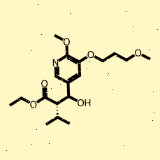 CCOC(=O)[C@@H](C(C)C)C(O)c1cnc(OC)c(OCCCOC)c1